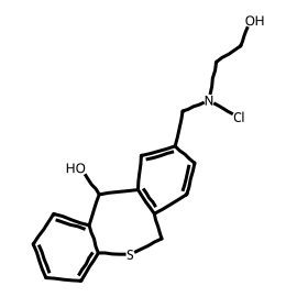 OCCN(Cl)Cc1ccc2c(c1)C(O)c1ccccc1SC2